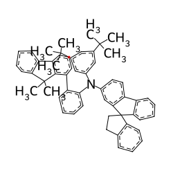 CC(C)(C)c1cc(N(c2ccc3c(c2)C2(CCc4ccccc42)c2ccccc2-3)c2ccccc2-c2cccc3c2C(C)(C)c2ccccc2-3)cc(C(C)(C)C)c1